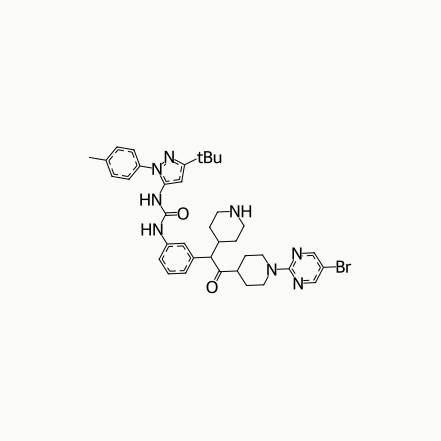 Cc1ccc(-n2nc(C(C)(C)C)cc2NC(=O)Nc2cccc(C(C(=O)C3CCN(c4ncc(Br)cn4)CC3)C3CCNCC3)c2)cc1